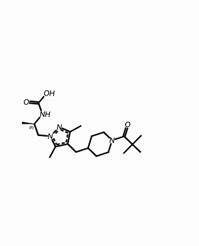 Cc1nn(C[C@@H](C)NC(=O)O)c(C)c1CC1CCN(C(=O)C(C)(C)C)CC1